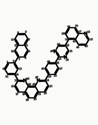 c1cc(-c2ccc3ccccc3c2)cc(-c2ccc3ccc4ccc(-c5ccc(-c6ncc(-c7cccc8ncccc78)cn6)cc5)nc4c3n2)c1